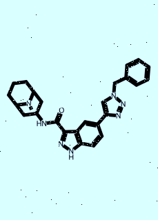 CN1C2CCCC1CC(NC(=O)c1n[nH]c3ccc(-c4cn(Cc5ccccc5)nn4)cc13)C2